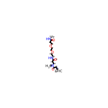 CC(C)NC(=O)CCOCCOCCNC(=O)CCN(C)C(=O)/C=C\C=O